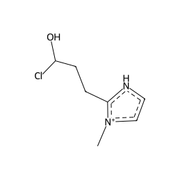 C[n+]1cc[nH]c1CCC(O)Cl